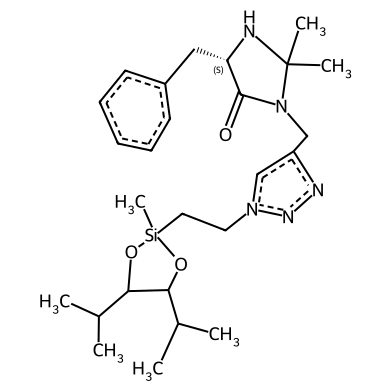 CC(C)C1O[Si](C)(CCn2cc(CN3C(=O)[C@H](Cc4ccccc4)NC3(C)C)nn2)OC1C(C)C